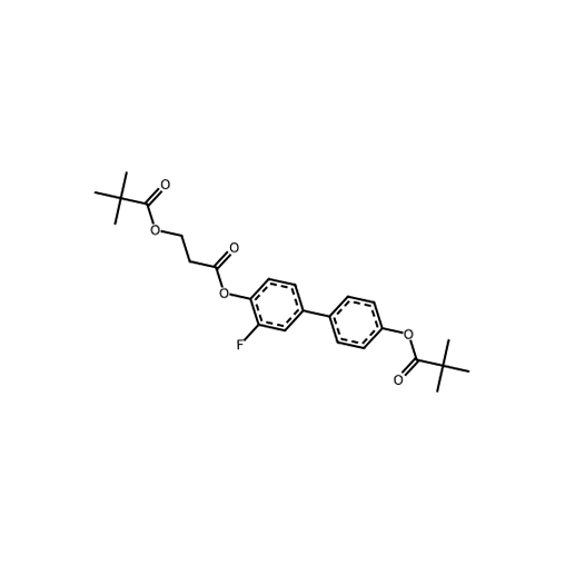 CC(C)(C)C(=O)OCCC(=O)Oc1ccc(-c2ccc(OC(=O)C(C)(C)C)cc2)cc1F